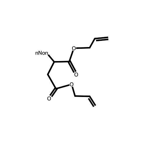 C=CCOC(=O)CC(CCCCCCCCC)C(=O)OCC=C